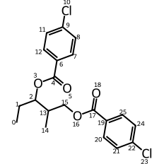 CCC(OC(=O)c1ccc(Cl)cc1)C(C)COC(=O)c1ccc(Cl)cc1